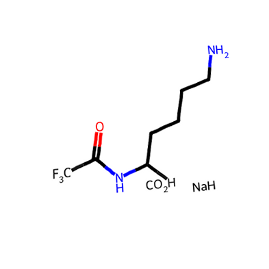 NCCCCC(NC(=O)C(F)(F)F)C(=O)O.[NaH]